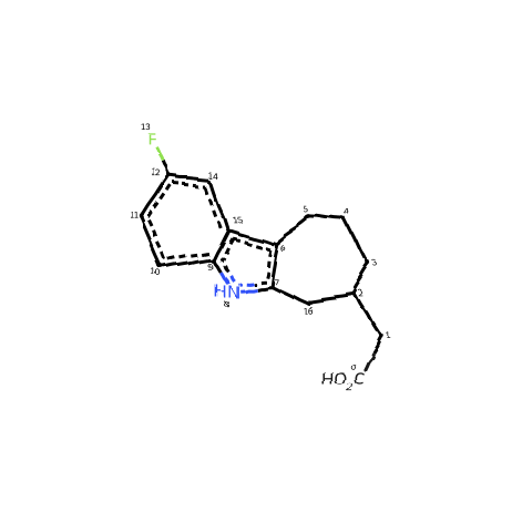 O=C(O)CC1CCCc2c([nH]c3ccc(F)cc23)C1